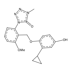 COc1cccc(-n2nnn(C)c2=O)c1COc1ccc(O)cc1C1CC1